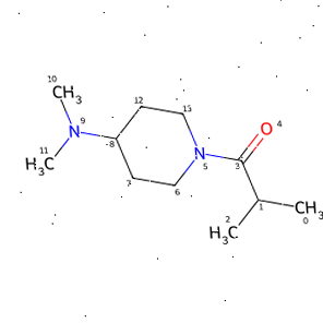 CC(C)C(=O)N1CCC(N(C)C)CC1